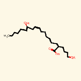 CCCCCC[C@@H](O)C/C=C\CCCCCCC(CCCCO)C(=O)O